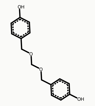 Oc1ccc(COCOCc2ccc(O)cc2)cc1